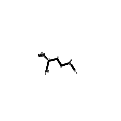 CN[C@H](CCSI)C(C)=O